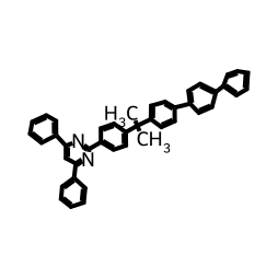 CC(C)(c1ccc(-c2ccc(-c3ccccc3)cc2)cc1)c1ccc(-c2nc(-c3ccccc3)cc(-c3ccccc3)n2)cc1